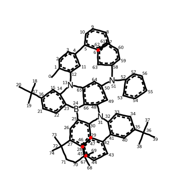 Cc1ccc(-c2ccccc2)cc1N1c2cc(C(C)(C)C)ccc2B2c3cc4c(cc3N(c3ccc(C(C)(C)C)cc3-c3ccccc3)c3cc(N(c5ccccc5)c5ccccc5)cc1c32)C(C)(C)CCC4(C)C